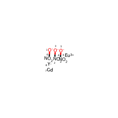 O=[N+]([O-])[O-].O=[N+]([O-])[O-].O=[N+]([O-])[O-].[Eu+3].[Gd].[Y]